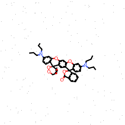 CCCN(CCC)c1ccc2c(c1)Oc1cc3c(cc1C21OOCc2ccccc21)C1(OC(=O)c2ccccc21)c1ccc(N(CCC)CCC)cc1O3